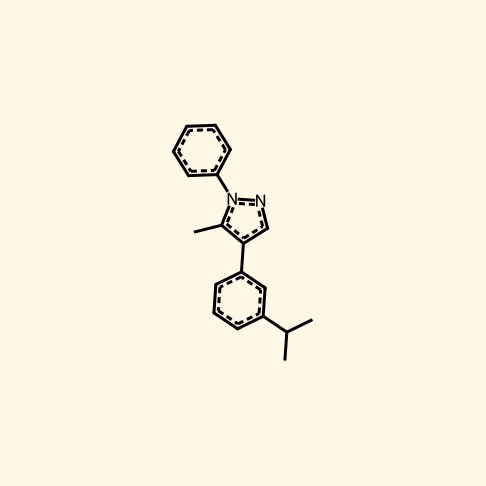 Cc1c(-c2cccc(C(C)C)c2)cnn1-c1ccccc1